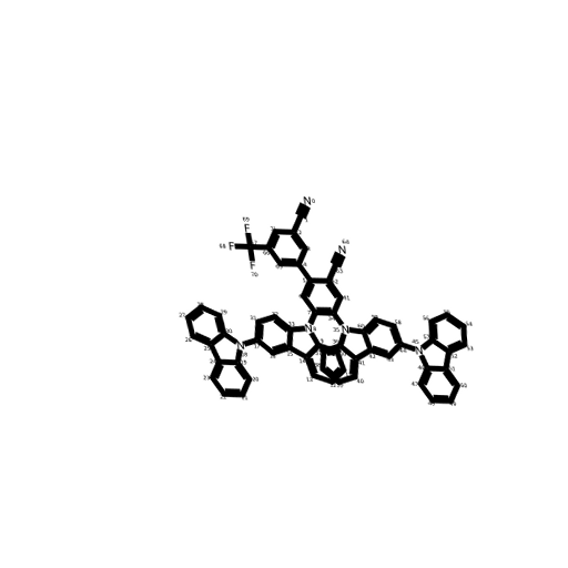 N#Cc1cc(-c2cc(-n3c4ccccc4c4cc(-n5c6ccccc6c6ccccc65)ccc43)c(-n3c4ccccc4c4cc(-n5c6ccccc6c6ccccc65)ccc43)cc2C#N)cc(C(F)(F)F)c1